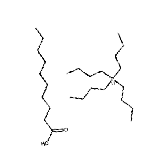 CCCCCCCCCC(=O)O.CCCC[PH](CCCC)(CCCC)CCCC